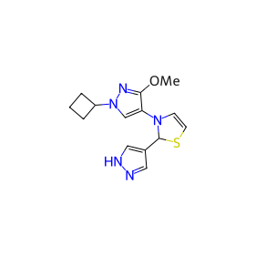 COc1nn(C2CCC2)cc1N1C=CSC1c1cn[nH]c1